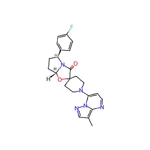 Cc1cnn2c(N3CCC4(CC3)O[C@@H]3CC[C@@H](c5ccc(F)cc5)N3C4=O)ccnc12